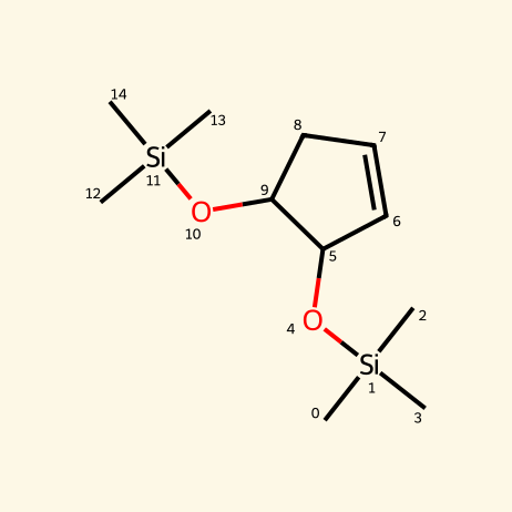 C[Si](C)(C)OC1C=CCC1O[Si](C)(C)C